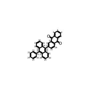 O=C1c2ccccc2C(=O)c2cc(-c3c4ccccc4c(-c4ccccc4)c4ccccc34)ccc21